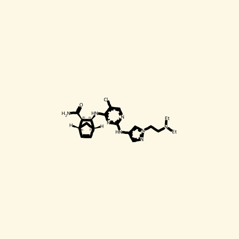 CCN(CC)CCn1cc(Nc2ncc(Cl)c(N[C@@H]3[C@H](C(N)=O)[C@H]4C=C[C@@H]3C4)n2)cn1